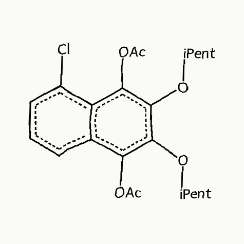 CCCC(C)Oc1c(OC(C)CCC)c(OC(C)=O)c2c(Cl)cccc2c1OC(C)=O